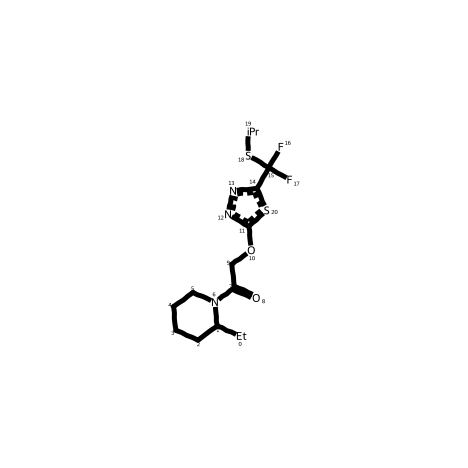 CCC1CCCCN1C(=O)COc1nnc(C(F)(F)SC(C)C)s1